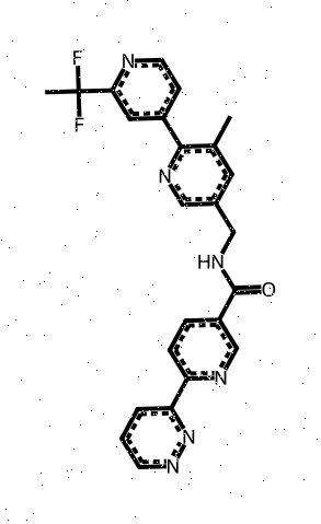 Cc1cc(CNC(=O)c2ccc(-c3cccnn3)nc2)cnc1-c1ccnc(C(C)(F)F)c1